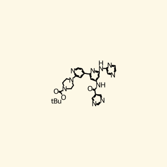 CC(C)(C)OC(=O)N1CCN(c2cc(-c3cc(NC(=O)c4cncnc4)cc(Nc4cnccn4)n3)ccn2)CC1